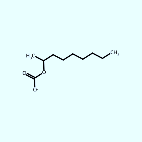 CCCCCCCC(C)OC([O])=O